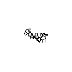 Cc1cnc(-c2cc(NC(=O)c3ccc4c(c3)OCCO4)ccc2Cl)n1C